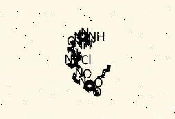 C=C(C(=O)Nc1ncnc2[nH]cnc12)n1cc(Cl)c2c(CN3CCCN(c4ccc(OC)c(OCCCCC)c4)C3=O)ccnc21